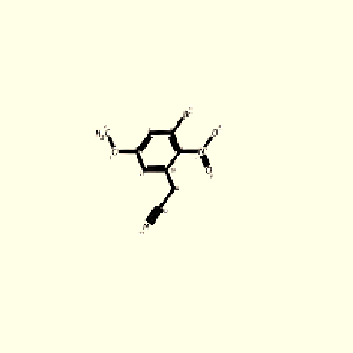 COc1cc(Br)c([N+](=O)[O-])c(CC#N)c1